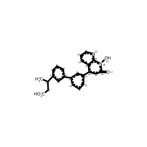 CC(CC(=O)O)c1cccc(-c2cccc(-c3cc(=O)n(O)c4ncccc34)c2)c1